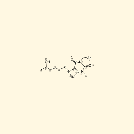 CC(=O)Cn1c(=O)c2c(ncn2CCCCC(C)O)n(C)c1=O